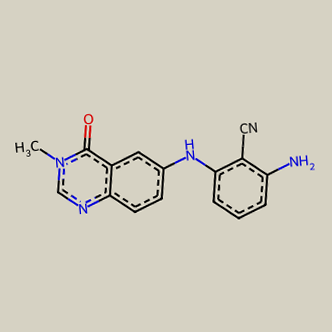 Cn1cnc2ccc(Nc3cccc(N)c3C#N)cc2c1=O